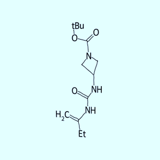 C=C(CC)NC(=O)NC1CN(C(=O)OC(C)(C)C)C1